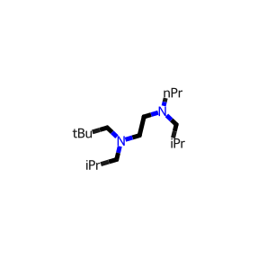 CCCN(CCN(CC(C)C)CC(C)(C)C)CC(C)C